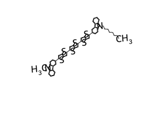 CCCCCCCCn1c2ccccc2c2cc(-c3cc4sc(-c5cc6sc(-c7cc8sc(-c9ccc%10c(c9)c9ccccc9n%10C)cc8s7)cc6s5)cc4s3)ccc21